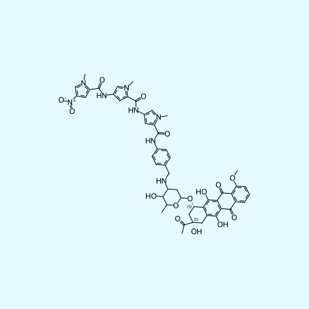 COc1cccc2c1C(=O)c1c(O)c3c(c(O)c1C2=O)C[C@@](O)(C(C)=O)C[C@@H]3OC1CC(NCc2ccc(NC(=O)c3cc(NC(=O)c4cc(NC(=O)c5cc([N+](=O)[O-])cn5C)cn4C)cn3C)cc2)C(O)C(C)O1